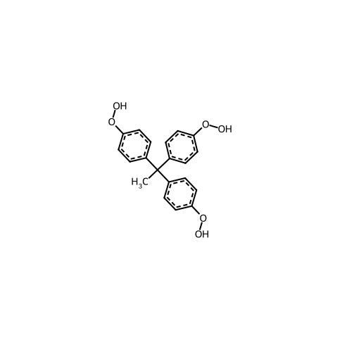 CC(c1ccc(OO)cc1)(c1ccc(OO)cc1)c1ccc(OO)cc1